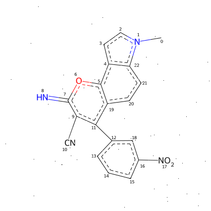 Cn1ccc2c3oc(=N)c(C#N)c(-c4cccc([N+](=O)[O-])c4)c3ccc21